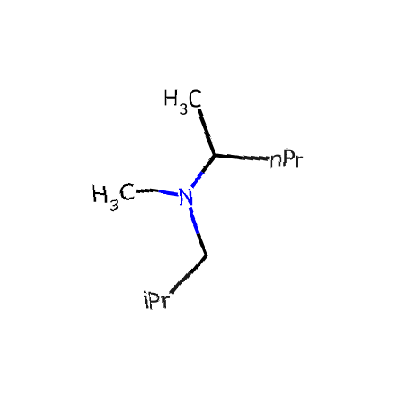 CCCC(C)N(C)CC(C)C